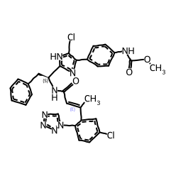 COC(=O)Nc1ccc(-c2nc([C@H](Cc3ccccc3)NC(=O)/C=C(\C)c3cc(Cl)ccc3-n3cnnn3)[nH]c2Cl)cc1